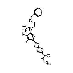 CC[C@@]1(C)CN(Cc2ccccc2)CCN1c1nn(C2CC3(C2)CN(C(=O)OC(C)(C)C)C3)c(C)c1I